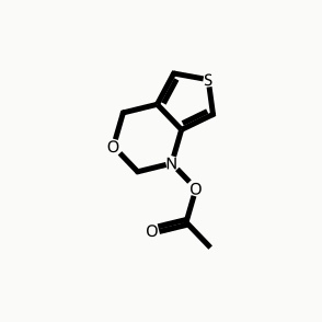 CC(=O)ON1COCc2cscc21